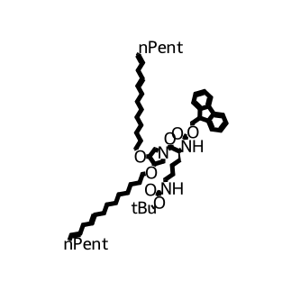 CCCCCC=CCC=CCCCCCCCCOC1CN(C(=O)[C@H](CCCCNC(=O)OC(C)(C)C)NC(=O)OCC2c3ccccc3-c3ccccc32)CC1OCCCCCCCCC=CCC=CCCCCC